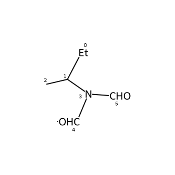 CCC(C)N([C]=O)C=O